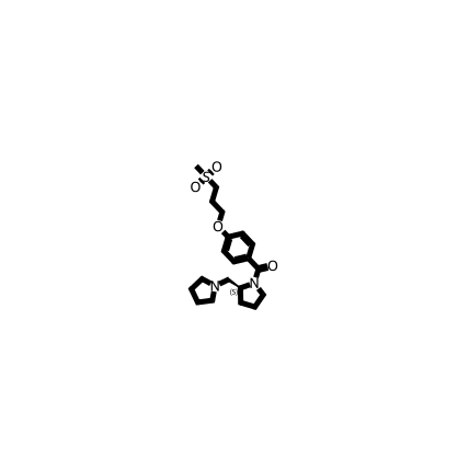 CS(=O)(=O)CCCOc1ccc(C(=O)N2CCC[C@H]2CN2CCCC2)cc1